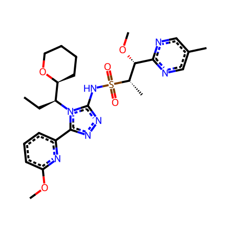 CC[C@@H]([C@@H]1CCCCO1)n1c(NS(=O)(=O)[C@@H](C)[C@H](OC)c2ncc(C)cn2)nnc1-c1cccc(OC)n1